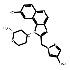 COc1cnn(Cc2nc3cnc4ccc(C#N)cc4c3n2[C@@H]2CCO[C@H](C)C2)c1